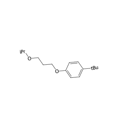 CC(C)OCCCOc1ccc(C(C)(C)C)cc1